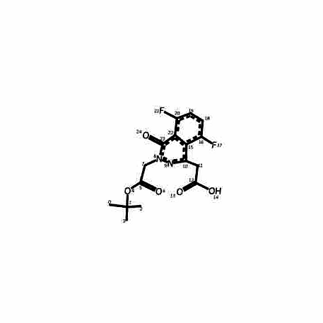 CC(C)(C)OC(=O)Cn1nc(CC(=O)O)c2c(F)ccc(F)c2c1=O